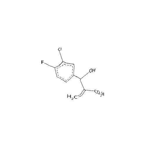 C=C(C(=O)O)C(O)c1ccc(F)c(Cl)c1